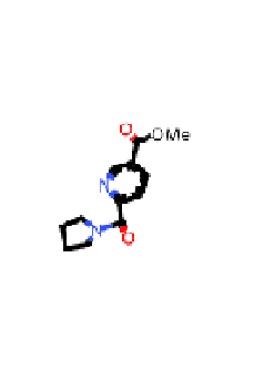 COC(=O)c1ccc(C(=O)N2CCCC2)nc1